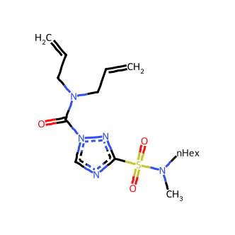 C=CCN(CC=C)C(=O)n1cnc(S(=O)(=O)N(C)CCCCCC)n1